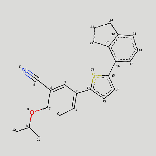 C/C=C(\C=C(\C#N)COC(C)C)c1ccc(-c2cccc3c2CCC3)s1